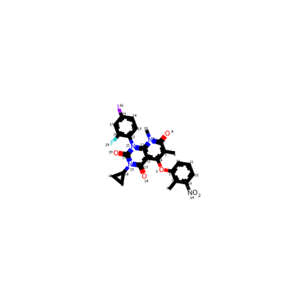 Cc1c(Oc2c(C)c(=O)n(C)c3c2c(=O)n(C2CC2)c(=O)n3-c2ccc(I)cc2F)cccc1[N+](=O)[O-]